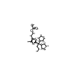 CCCC(c1nc(C)c(CCO[N+](=O)[O-])s1)(C1CCSC1)C1CCSC1